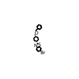 Brc1ccc2nc([C@H]3CC[C@H](COCc4ccccc4)CC3)sc2c1